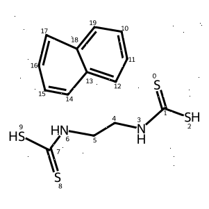 S=C(S)NCCNC(=S)S.c1ccc2ccccc2c1